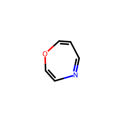 C1=COC=CN=C1